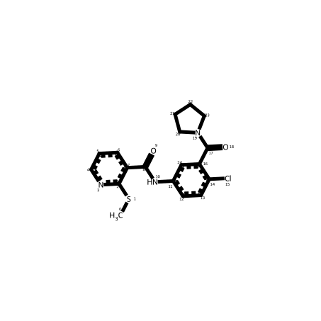 CSc1ncccc1C(=O)Nc1ccc(Cl)c(C(=O)N2CCCC2)c1